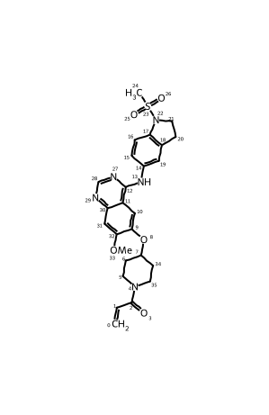 C=CC(=O)N1CCC(Oc2cc3c(Nc4ccc5c(c4)CCN5S(C)(=O)=O)ncnc3cc2OC)CC1